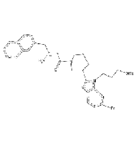 COCCCn1c(C2CCCN(C(=O)C[C@H](N)Cc3ccc4ccccc4c3)C2)nc2ccc(C(C)C)cc21